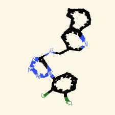 Clc1cccc(-n2nnnc2NCc2cnc3ccccc3c2)c1Cl